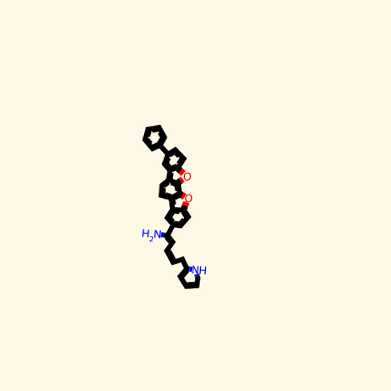 N/C(=C\C=C/CC1=CC=CCN1)c1ccc2oc3c(ccc4c5cc(-c6ccccc6)ccc5oc43)c2c1